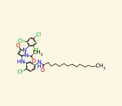 CCCCCCCCCCCCCC(=O)Nc1ccc(Cl)c(Nc2cc(=O)n(-c3c(Cl)cc(Cl)cc3Cl)n2C(C)=O)c1